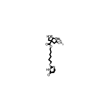 CCC(CC(C)C)(C(=O)OCCCCCCSc1nccc(=O)[nH]1)C(C)C